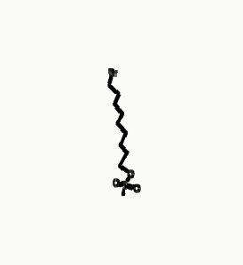 CS(=O)(=O)OCCCCCCCCCBr